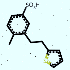 Cc1ccc(S(=O)(=O)O)cc1CCc1cccs1